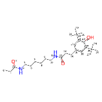 CCC(=O)NCCCCCCNC(=O)CCc1cc(C(C)(C)C)c(O)c(C(C)(C)C)c1